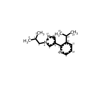 CC(C)Cn1cc(-c2ncccc2C(C)C)cn1